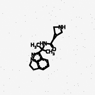 CC(C)(NC(=O)C1C2CNCC21)c1nn2c3c(cccc13)CC2